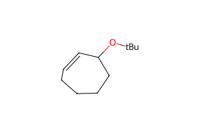 CC(C)(C)OC1C=CCCCC1